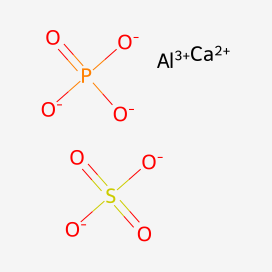 O=P([O-])([O-])[O-].O=S(=O)([O-])[O-].[Al+3].[Ca+2]